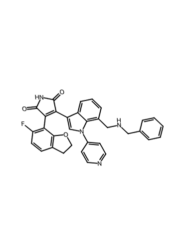 O=C1NC(=O)C(c2cn(-c3ccncc3)c3c(CNCc4ccccc4)cccc23)=C1c1c(F)ccc2c1OCC2